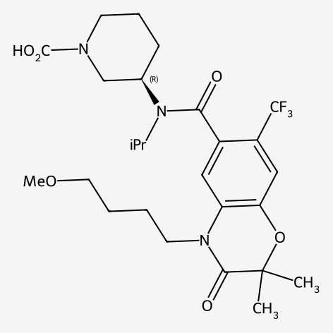 COCCCCN1C(=O)C(C)(C)Oc2cc(C(F)(F)F)c(C(=O)N(C(C)C)[C@@H]3CCCN(C(=O)O)C3)cc21